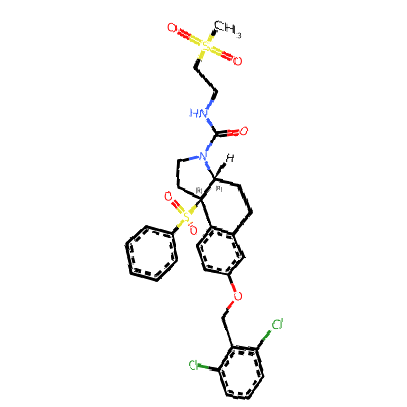 CS(=O)(=O)CCNC(=O)N1CC[C@@]2(S(=O)(=O)c3ccccc3)c3ccc(OCc4c(Cl)cccc4Cl)cc3CC[C@@H]12